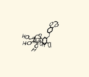 OC[C@@]12CO[C@@](c3ccc(Cl)c(Cc4ccc5c(c4)OCCO5)c3)(O1)[C@H](O)[C@@H](O)[C@@H]2O